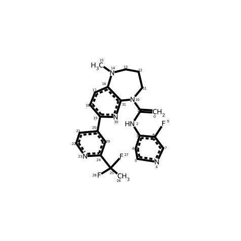 C=C(Nc1ccncc1F)N1CCCN(C)c2ccc(-c3ccnc(C(C)(F)F)c3)nc21